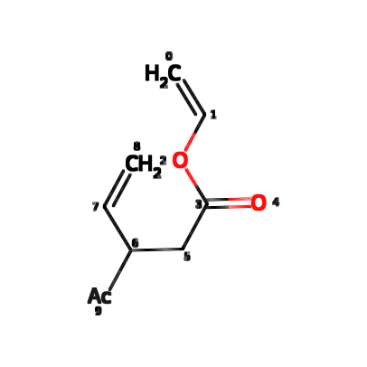 C=COC(=O)CC(C=C)C(C)=O